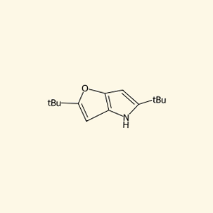 CC(C)(C)c1cc2oc(C(C)(C)C)cc2[nH]1